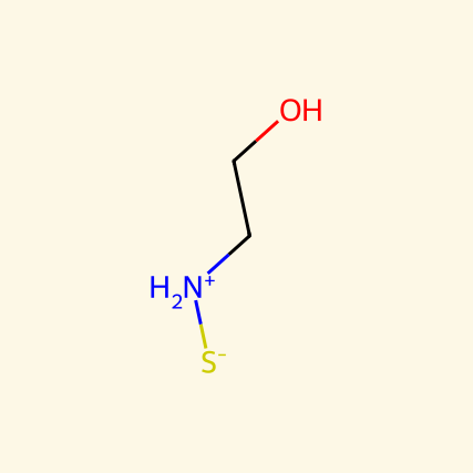 OCC[NH2+][S-]